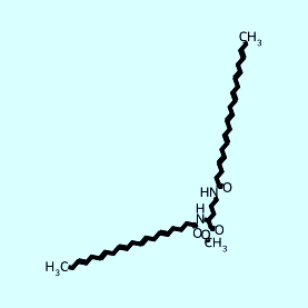 CCC=CCC=CCC=CCC=CCC=CCC=CCCC(=O)NCCCC(NC(=O)CCCC=CCC=CCC=CCC=CCC=CCC)C(=O)OC